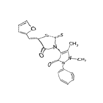 Cc1c(N2C(=O)C(=Cc3ccco3)SC2=S)c(=O)n(-c2ccccc2)n1C